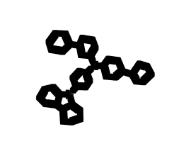 c1ccc(-c2ccc(N(c3ccc(-n4c5ccccc5c5ccccc54)cc3)c3cccc(-c4ccccc4)c3)cc2)cc1